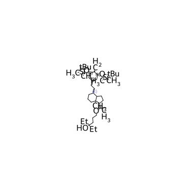 C=C1[C@H](O[Si](C)(C)C(C)(C)C)CC(=C/C=C2\CCCC3(C)C2CCC3[C@@H](C)OCCCC(O)(CC)CC)C[C@H]1O[Si](C)(C)C(C)(C)C